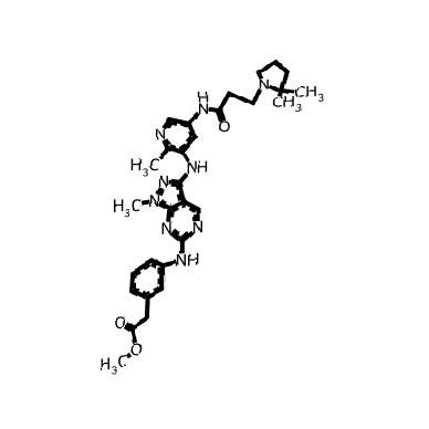 COC(=O)Cc1cccc(Nc2ncc3c(Nc4cc(NC(=O)CCN5CCCC5(C)C)cnc4C)nn(C)c3n2)c1